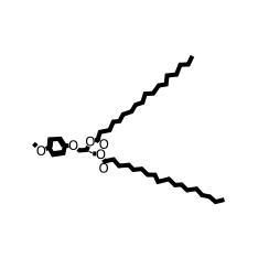 CCCCCCCCCCCCCCCCCC(=O)OC[C@H](COc1ccc(OC)cc1)OC(=O)CCCCCCCCCCCCCCCCC